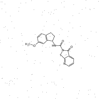 COc1ccc2c(c1)C(NC(=O)n1sc3ncccc3c1=O)CC2